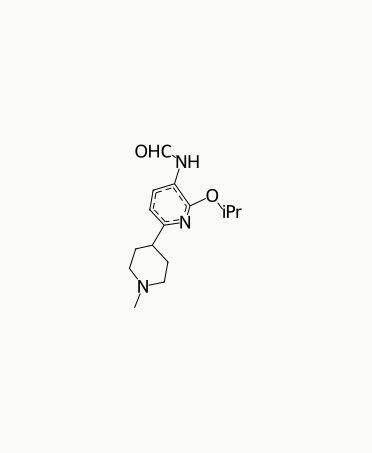 CC(C)Oc1nc(C2CCN(C)CC2)ccc1NC=O